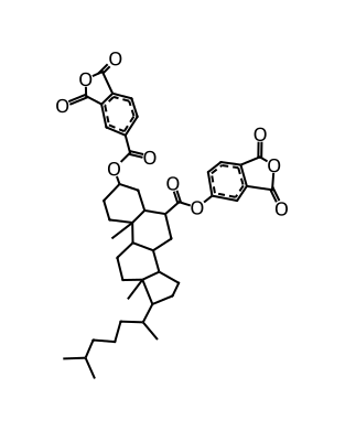 CC(C)CCCC(C)C1CCC2C3CC(C(=O)Oc4ccc5c(c4)C(=O)OC5=O)C4CC(OC(=O)c5ccc6c(c5)C(=O)OC6=O)CCC4(C)C3CCC12C